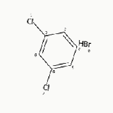 Br.Clc1cccc(Cl)c1